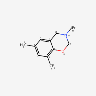 Cc1cc2c(c(C(F)(F)F)c1)OCN(C(C)C)C2